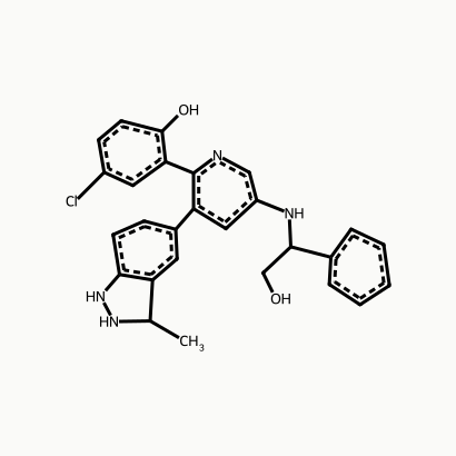 CC1NNc2ccc(-c3cc(NC(CO)c4ccccc4)cnc3-c3cc(Cl)ccc3O)cc21